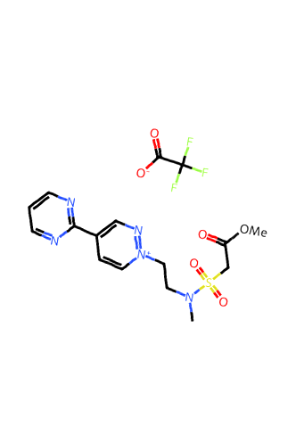 COC(=O)CS(=O)(=O)N(C)CC[n+]1ccc(-c2ncccn2)cn1.O=C([O-])C(F)(F)F